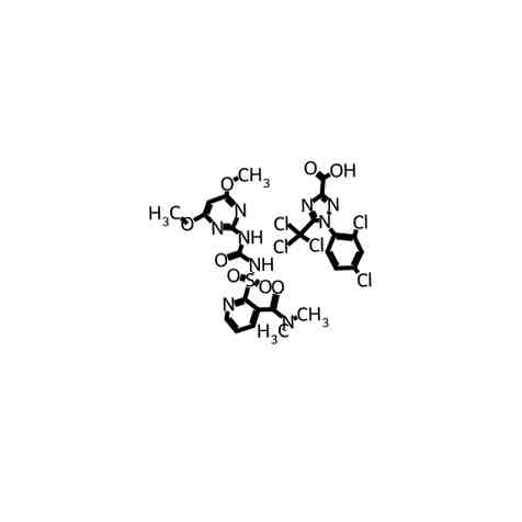 COc1cc(OC)nc(NC(=O)NS(=O)(=O)c2ncccc2C(=O)N(C)C)n1.O=C(O)c1nc(C(Cl)(Cl)Cl)n(-c2ccc(Cl)cc2Cl)n1